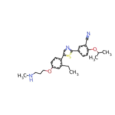 CCc1cc(OCCCNC)ccc1-c1cnc(-c2ccc(OC(C)C)c(C#N)c2)s1